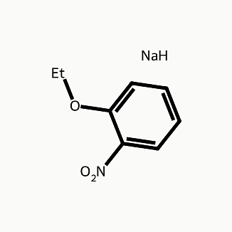 CCOc1ccccc1[N+](=O)[O-].[NaH]